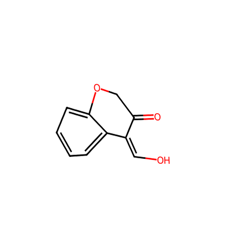 O=C1COc2ccccc2C1=CO